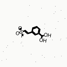 O=S(=O)(F)/C=C/c1cccc(C(O)O)c1